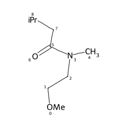 COCCN(C)C(=O)CC(C)C